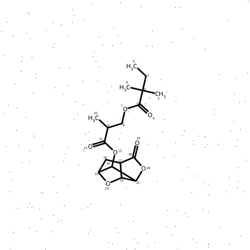 CCC(C)(C)C(=O)OCC(C)C(=O)OC1C2CC3C(=O)OC1C3O2